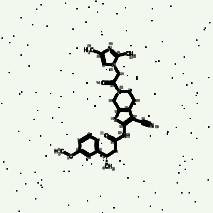 COc1cccc([C@@H](C)CC(=O)Nc2sc3c(c2C#N)CCN(C(=O)Cn2cc(C)nc2C)C3)c1